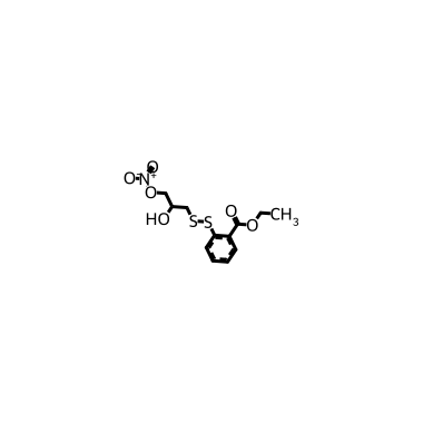 CCOC(=O)c1ccccc1SSCC(O)CO[N+](=O)[O-]